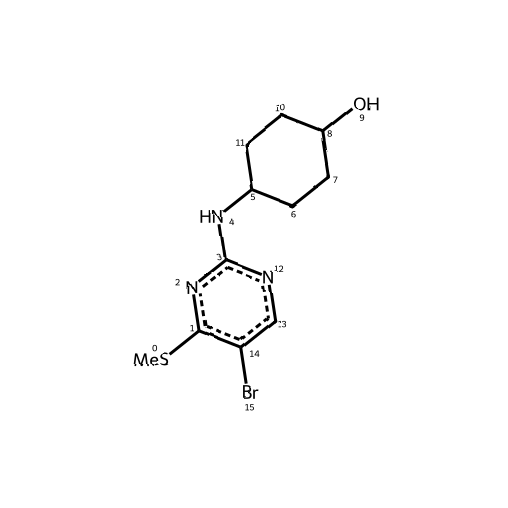 CSc1nc(NC2CCC(O)CC2)ncc1Br